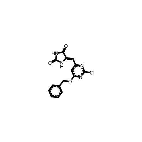 O=C1NC(=O)/C(=C/c2cc(OCc3ccccc3)nc(Cl)n2)N1